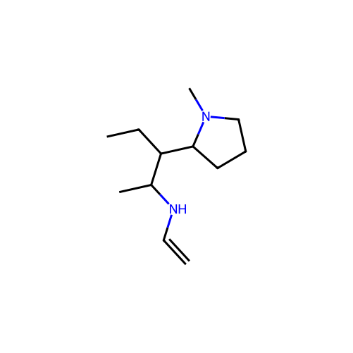 C=CNC(C)C(CC)C1CCCN1C